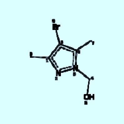 Cc1nn(CO)c(C)c1Br